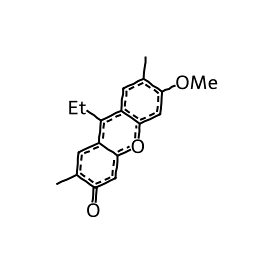 CCc1c2cc(C)c(=O)cc-2oc2cc(OC)c(C)cc12